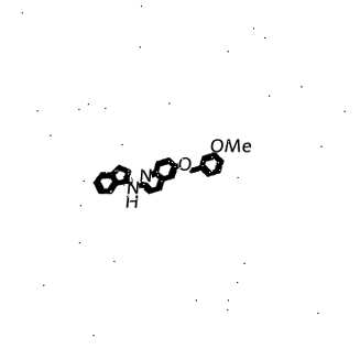 COc1cccc(COc2ccc3nc(N[C@@H]4CCc5ccccc54)ccc3c2)c1